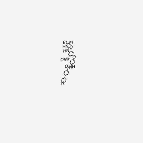 CCC(CC)NC(=O)Nc1ccc(Oc2ccc(NC(=O)c3ccc(C4=CCN(C)CC4)cc3)cc2)c(OC)c1